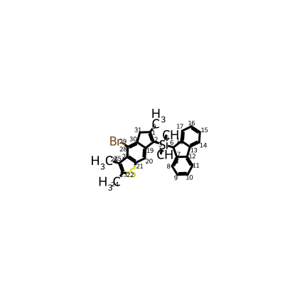 CC1=C([Si](C)(C)C2c3ccccc3-c3ccccc32)c2cc3sc(C)c(C)c3c(Br)c2C1